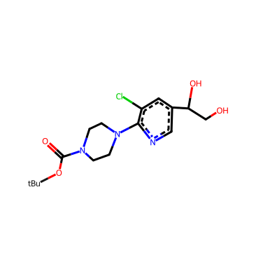 CC(C)(C)OC(=O)N1CCN(c2ncc(C(O)CO)cc2Cl)CC1